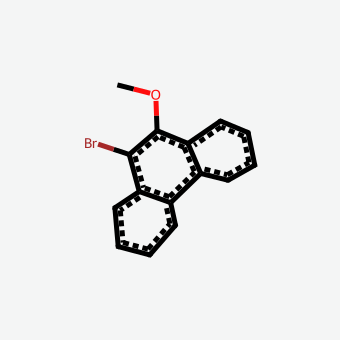 COc1c(Br)c2ccccc2c2ccccc12